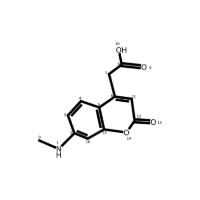 CNc1ccc2c(CC(=O)O)cc(=O)oc2c1